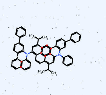 CC(C)c1cc(N(c2ccccc2)c2cc(-c3ccccc3)ccc2C2=CC=CCC2)c2ccc3c(C(C)C)cc(N(c4ccccc4)c4cc(-c5ccccc5)ccc4-c4ccccc4)c4ccc1c2c34